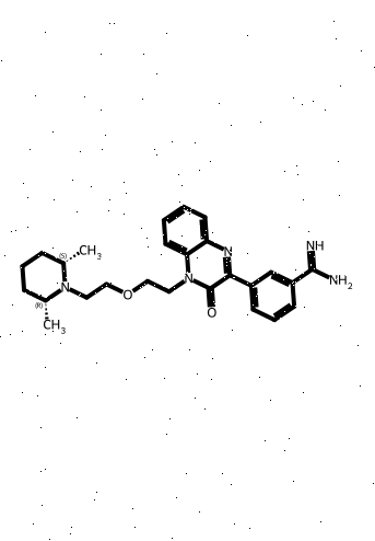 C[C@@H]1CCC[C@H](C)N1CCOCCn1c(=O)c(-c2cccc(C(=N)N)c2)nc2ccccc21